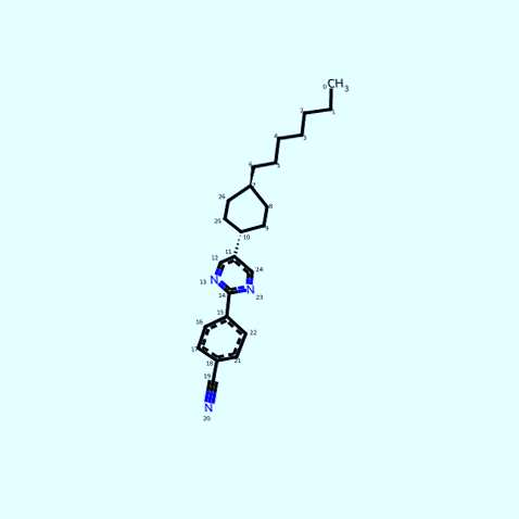 CCCCCCC[C@H]1CC[C@H](c2cnc(-c3ccc(C#N)cc3)nc2)CC1